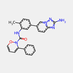 Cc1ccc(-c2ccc3nc(N)nn3c2)cc1NC(=O)N1OC=CC=C1c1ccccc1